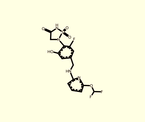 O=C1CN(c2c(O)cc(CNc3cccc(OC(F)F)n3)cc2F)S(=O)(=O)N1